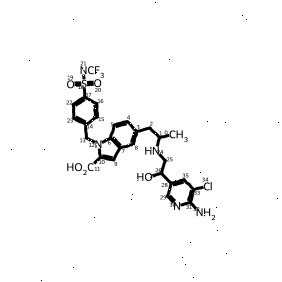 CC(Cc1ccc2c(c1)cc(C(=O)O)n2Cc1ccc(S(=O)(=O)NC(F)(F)F)cc1)NCC(O)c1cnc(N)c(Cl)c1